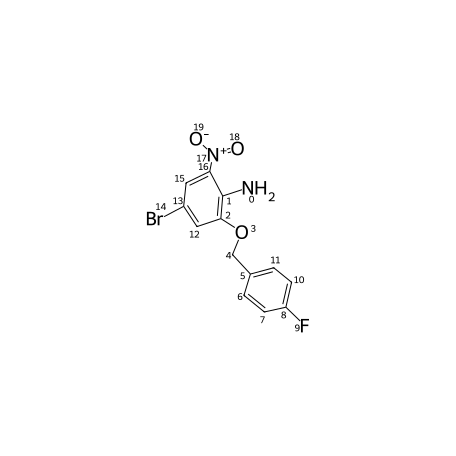 Nc1c(OCc2ccc(F)cc2)cc(Br)cc1[N+](=O)[O-]